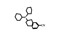 N#Cc1ccc2c(c1)CC(P(C1CCCCC1)C1CCCCC1)CC2